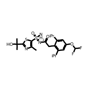 Cc1nc(C(C)(C)O)sc1S(N)(=O)=NC(=O)Cc1c(C(C)C)cc(OC(F)F)cc1C(C)C